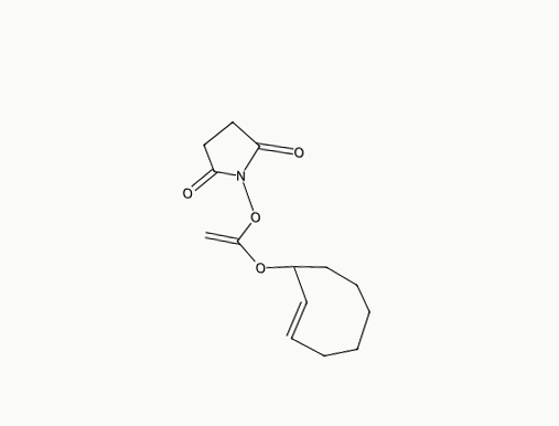 C=C(OC1/C=C/CCCCC1)ON1C(=O)CCC1=O